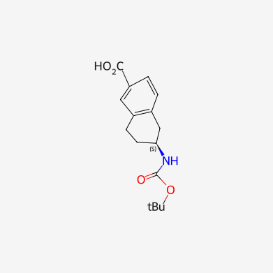 CC(C)(C)OC(=O)N[C@H]1CCc2cc(C(=O)O)ccc2C1